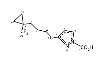 O=C(O)n1ccc(OCCCC2(C(F)(F)F)CC2)n1